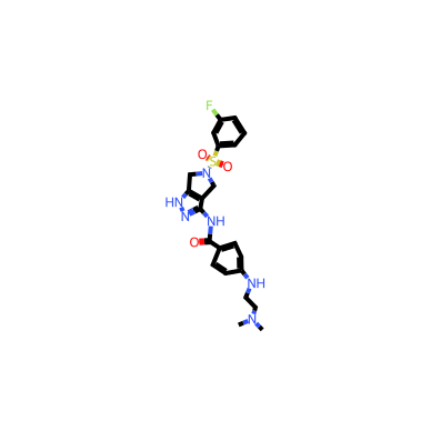 CN(C)CCNc1ccc(C(=O)Nc2n[nH]c3c2CN(S(=O)(=O)c2cccc(F)c2)C3)cc1